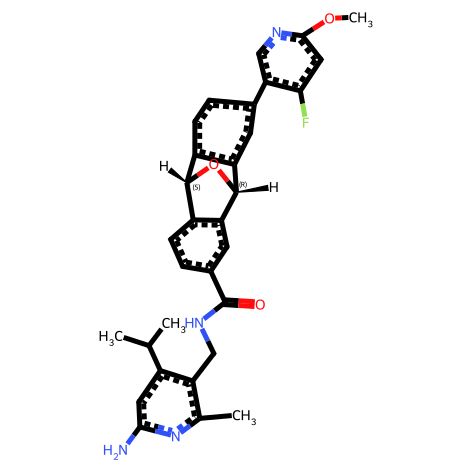 COc1cc(F)c(-c2ccc3c(c2)[C@H]2O[C@@H]3c3ccc(C(=O)NCc4c(C(C)C)cc(N)nc4C)cc32)cn1